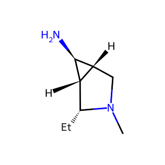 CC[C@@H]1[C@@H]2[C@@H](N)[C@@H]2CN1C